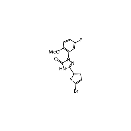 COc1ccc(F)cc1-n1nc(-c2ccc(Br)s2)[nH]c1=O